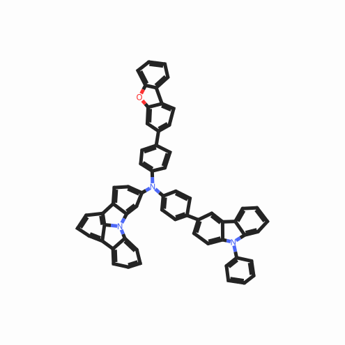 c1ccc(-n2c3ccccc3c3cc(-c4ccc(N(c5ccc(-c6ccc7c(c6)oc6ccccc67)cc5)c5ccc6c7cccc8c9ccccc9n(c6c5)c87)cc4)ccc32)cc1